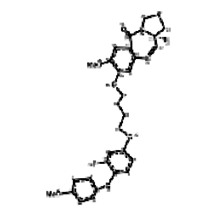 COc1ccc(Oc2ccc(OCCCCOc3cc4c(cc3OC)C(=O)N3CCC[C@H]3C=N4)cc2F)cc1